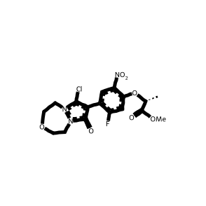 COC(=O)[C@@H](C)Oc1cc(F)c(-c2c(Cl)n3n(c2=O)CCOCC3)cc1[N+](=O)[O-]